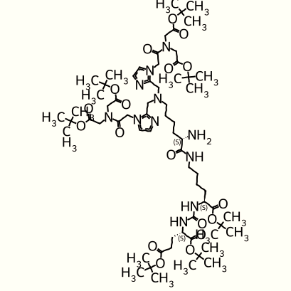 CC(C)(C)OC(=O)CC[C@H](NC(=O)N[C@@H](CCCCNC(=O)[C@@H](N)CCCCN(Cc1nccn1CC(=O)N(CC(=O)OC(C)(C)C)CC(=O)OC(C)(C)C)Cc1nccn1CC(=O)N(CC(=O)OC(C)(C)C)CC(=O)OC(C)(C)C)C(=O)OC(C)(C)C)C(=O)OC(C)(C)C